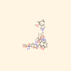 COc1ccccc1CN(C)CCS(=O)(=O)NC1(CCC(C)C)C(=O)C(C2=NS(=O)(=O)c3cc(NS(C)(=O)=O)ccc3N2)=C(O)c2ccccc21